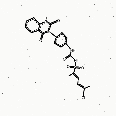 C/C(Cl)=C\C=C(/C)S(=O)(=O)NC(=O)Nc1ccc(-n2c(=O)[nH]c3ccccc3c2=O)cc1